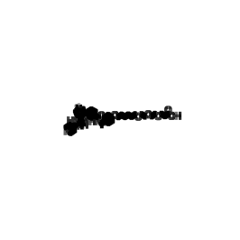 C[C@@H](NC(=O)c1cccc(NC2(c3nnc(-c4ccncc4)[nH]3)CCN(C)CC2)c1)c1ccc(OCCCCCCOCCOCCOCCC(=O)O)cc1